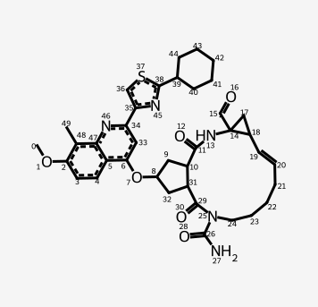 COc1ccc2c(OC3CC4C(=O)NC5([C]=O)CC5/C=C/CCCCN(C(N)=O)C(=O)C4C3)cc(-c3csc(C4CCCCC4)n3)nc2c1C